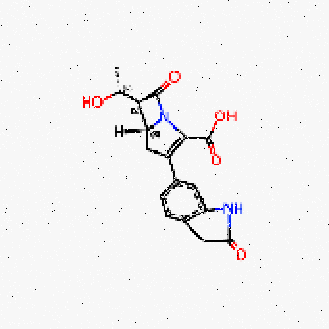 C[C@@H](O)[C@H]1C(=O)N2C(C(=O)O)=C(c3ccc4c(c3)NC(=O)C4)C[C@H]12